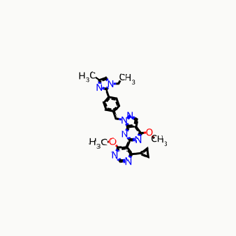 CCn1cc(C)nc1-c1ccc(Cn2ncc3c(OC)nc(-c4c(OC)ncnc4C4CC4)nc32)cc1